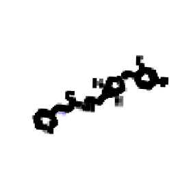 O=C(/C=C/c1cccnc1)NCCC1[C@H]2CN(Cc3ccc(F)cc3F)C[C@@H]12